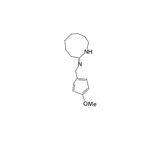 COc1ccc(CN=C2CCCCCCCN2)cc1